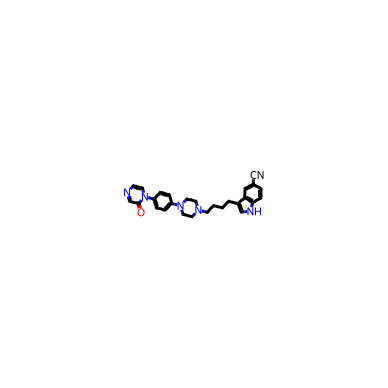 N#Cc1ccc2[nH]cc(CCCCN3CCN(c4ccc(-n5ccncc5=O)cc4)CC3)c2c1